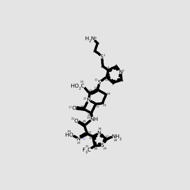 NCCSCc1cnccc1SC1=C(C(=O)O)N2C(=O)C(NC(=O)/C(=N\O)c3nc(N)sc3C(F)(F)F)C2CC1